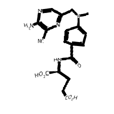 CN(Cc1cnc(N)c(C#N)n1)c1ccc(C(=O)N[C@@H](CCC(=O)O)C(=O)O)cc1